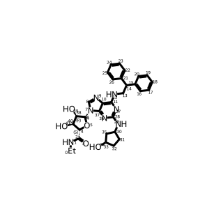 CCNC(=O)[C@H]1O[C@@H](n2cnc3c(NCC(c4ccccc4)c4ccccc4)nc(NC4CCC(O)C4)nc32)[C@H](O)[C@@H]1O